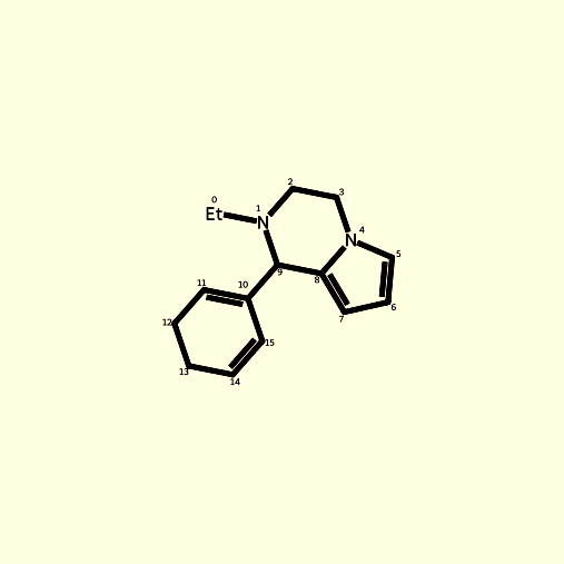 CCN1CCn2cccc2C1C1=CCCC=C1